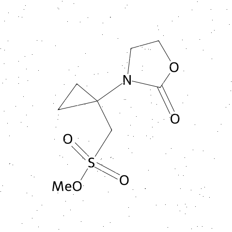 COS(=O)(=O)CC1(N2CCOC2=O)CC1